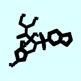 Cc1cc(CN(C(C)(C)C(=O)N(CC(C)C)CC(C)C)S(=O)(=O)c2ccc3occc3c2)n(C)n1